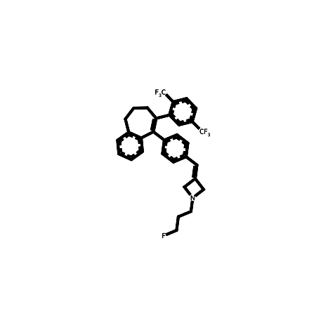 FCCCN1CC(=Cc2ccc(C3=C(c4cc(C(F)(F)F)ccc4C(F)(F)F)CCCc4ccccc43)cc2)C1